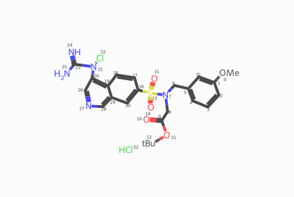 COc1cccc(CN(CC(=O)OC(C)(C)C)S(=O)(=O)c2ccc3c(N(Cl)C(=N)N)cncc3c2)c1.Cl